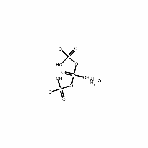 O=P(O)(O)OP(=O)(O)OP(=O)(O)O.[AlH3].[Zn]